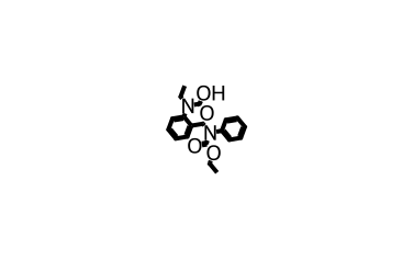 CCOC(=O)N(Cc1ccccc1N(CC)C(=O)O)c1ccccc1